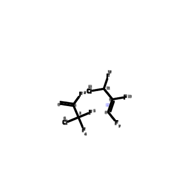 C=C(F)C(F)(F)Cl.F/C=C(\F)C(F)Cl